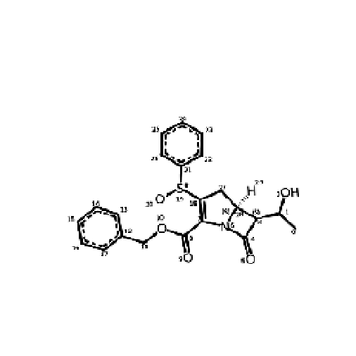 CC(O)[C@H]1C(=O)N2C(C(=O)OCc3ccccc3)=C([S+]([O-])c3ccccc3)C[C@@H]12